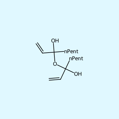 C=CC(O)(CCCCC)OC(O)(C=C)CCCCC